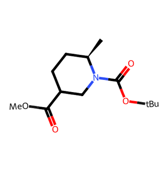 COC(=O)C1CC[C@@H](C)N(C(=O)OC(C)(C)C)C1